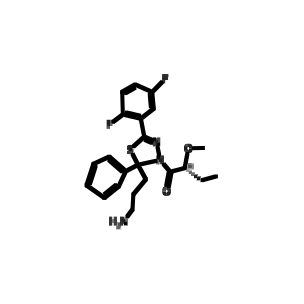 CC[C@@H](OC)C(=O)N1N=C(c2cc(F)ccc2F)SC1(CCCN)c1ccccc1